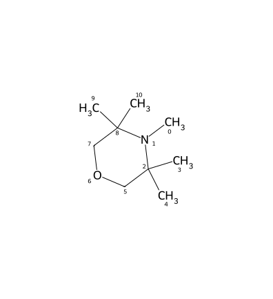 CN1C(C)(C)COCC1(C)C